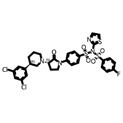 O=C1[C@@H](N2CCC[C@H](c3cc(Cl)cc(Cl)c3)C2)CCN1c1ccc(S(=O)(=O)N(c2nccs2)S(=O)(=O)c2ccc(F)cc2)cc1